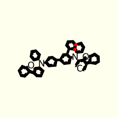 c1ccc(-c2cc(-c3ccc(N(c4ccccc4)c4cccc5c4oc4ccccc45)cc3)ccc2N(c2ccccc2)c2cccc3c2oc2ccccc23)cc1